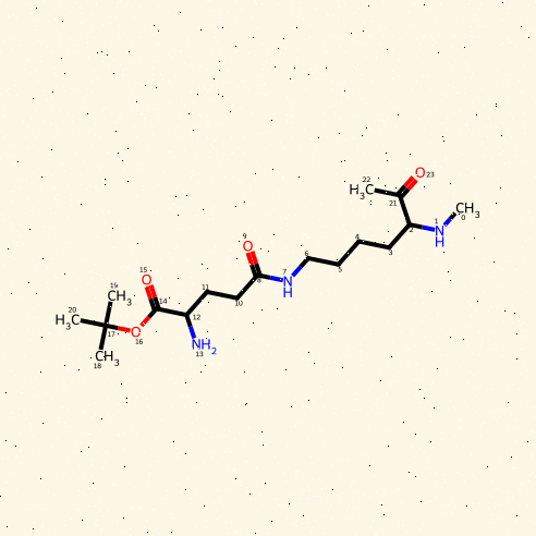 CNC(CCCCNC(=O)CCC(N)C(=O)OC(C)(C)C)C(C)=O